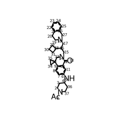 CC(=O)N1CCC(Nc2ccc3c(c2)C(=O)N(CC(CN2CCc4ccccc4C2)C2CCC2)CC32CC2)CC1